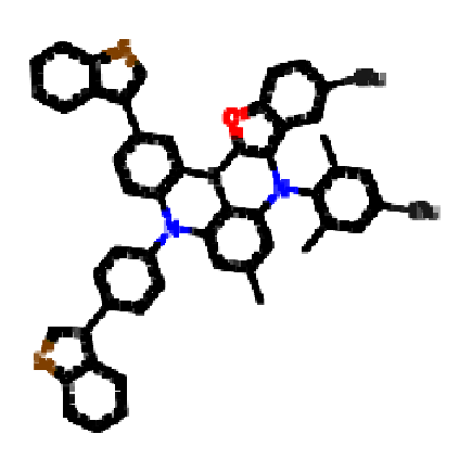 Cc1cc2c3c(c1)N(c1c(C)cc(C(C)(C)C)cc1C)c1c(oc4ccc(C(C)(C)C)cc14)B3c1cc(-c3csc4ccccc34)ccc1N2c1ccc(-c2csc3ccccc23)cc1